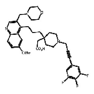 COc1ccc2ncc(CN3CCOCC3)c(CCCC3(CC(=O)O)CCN(CC#Cc4cc(F)c(F)c(F)c4)CC3)c2c1